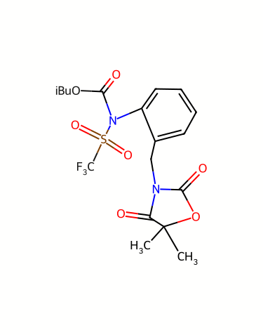 CC(C)COC(=O)N(c1ccccc1CN1C(=O)OC(C)(C)C1=O)S(=O)(=O)C(F)(F)F